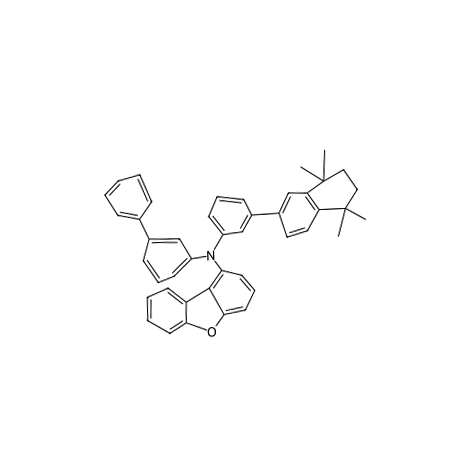 CC1(C)CCC(C)(C)c2cc(-c3cccc(N(c4cccc(-c5ccccc5)c4)c4cccc5oc6ccccc6c45)c3)ccc21